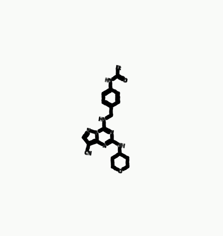 CCC(=O)Nc1ccc(CNc2nc(NC3CCOCC3)nc3c(C#N)cnn23)cc1